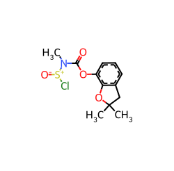 CN(C(=O)Oc1cccc2c1OC(C)(C)C2)[S+]([O-])Cl